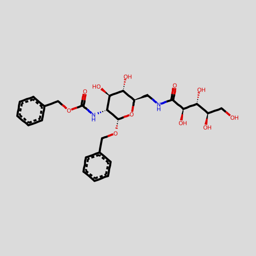 O=C(N[C@H]1[C@@H](OCc2ccccc2)O[C@H](CNC(=O)[C@H](O)[C@H](O)[C@H](O)CO)[C@@H](O)[C@@H]1O)OCc1ccccc1